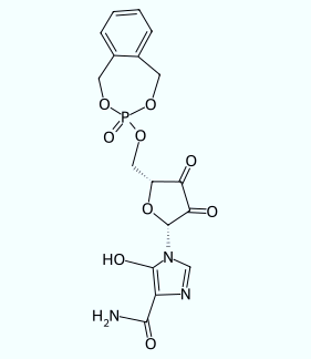 NC(=O)c1ncn([C@@H]2O[C@H](COP3(=O)OCc4ccccc4CO3)C(=O)C2=O)c1O